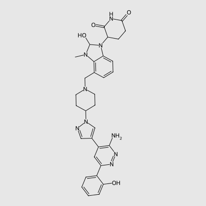 CN1c2c(CN3CCC(n4cc(-c5cc(-c6ccccc6O)nnc5N)cn4)CC3)cccc2N(C2CCC(=O)NC2=O)C1O